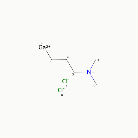 CN(C)CC[CH2][Ga+2].[Cl-].[Cl-]